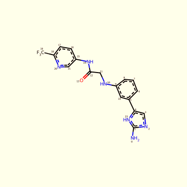 Nc1ncc(-c2cccc(NCC(=O)Nc3ccc(C(F)(F)F)nc3)c2)[nH]1